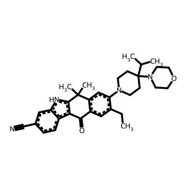 CCc1cc2c(cc1N1CCC(C(C)C)(N3CCOCC3)CC1)C(C)(C)c1[nH]c3cc(C#N)ccc3c1C2=O